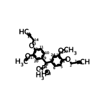 C#CCOc1ccc(C(c2ccc(OCC#C)c(OC)c2)[PH](C)=O)cc1OC